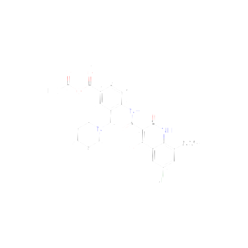 CNc1cc(F)cc2c(O)c(C(=O)Nc3ccc(C(=O)OC(=O)C(F)(F)F)cc3CN3CCCCC3)c(=O)[nH]c12